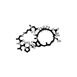 COc1cc2cc(c1Cl)N(C)C(=O)C[C@@H](OC(=O)CN(C)C(=O)CCSSCC(C)C(=O)NC(C(=O)N1CCC[C@@H]1B(O)O)C(C)C)[C@]1(C)O[C@H]1[C@@H](C)C1C[C@](O)(NC(=O)O1)[C@@H](CO)/C=C/C=C(\C)C2